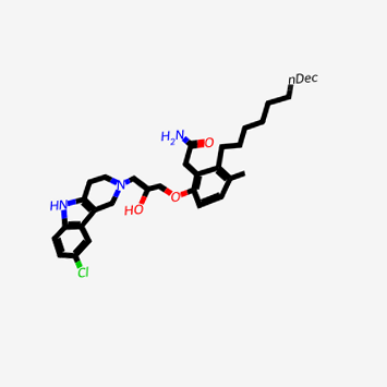 CCCCCCCCCCCCCCCCc1c(C)ccc(OCC(O)CN2CCc3[nH]c4ccc(Cl)cc4c3C2)c1CC(N)=O